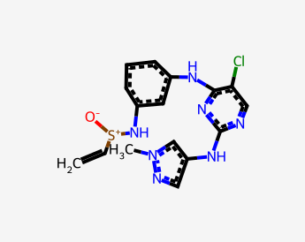 C=C[S+]([O-])Nc1cccc(Nc2nc(Nc3cnn(C)c3)ncc2Cl)c1